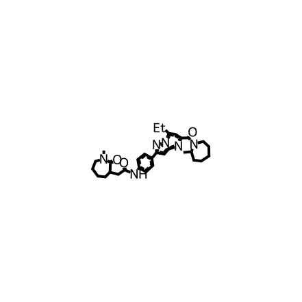 CCc1cc(C(=O)N2CCCCCC2C)nc2cc(-c3ccc(NC(=O)CC4CCCCN(C)C4=O)cc3)nn12